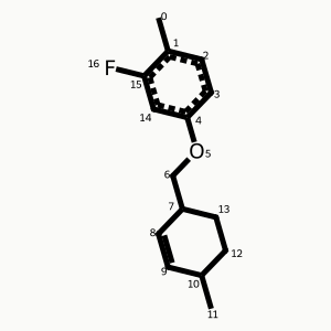 Cc1ccc(OCC2C=CC(C)CC2)cc1F